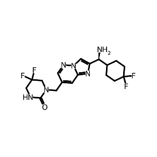 N[C@H](c1cn2ncc(CN3CC(F)(F)CNC3=O)cc2n1)C1CCC(F)(F)CC1